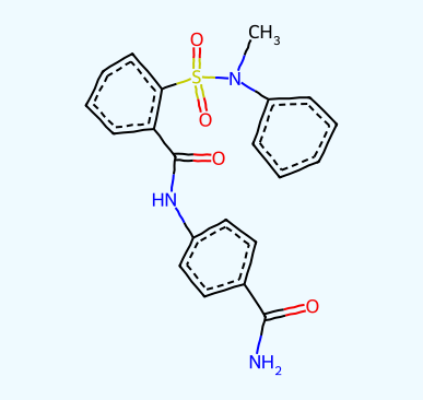 CN(c1ccccc1)S(=O)(=O)c1ccccc1C(=O)Nc1ccc(C(N)=O)cc1